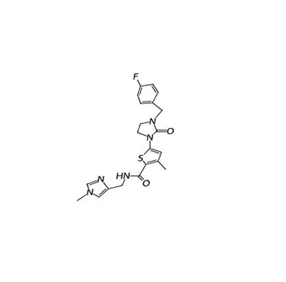 Cc1cc(N2CCN(Cc3ccc(F)cc3)C2=O)sc1C(=O)NCc1cn(C)cn1